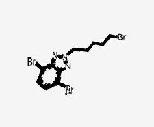 BrCCCCCn1nc2c(Br)ccc(Br)c2n1